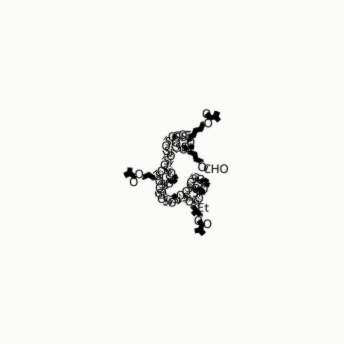 C=C(C)C(=O)OCCCC[Si]1(C)O[Si](C)(CCCCOC=O)O[SiH](C)O[Si](C)(O[Si](C)(C)O[Si](C)(C)O[Si](C)(C)O[Si]2(C)O[Si](C)(C)O[Si](C)(O[Si](C)(C)O[Si](C)(C)O[Si](C)(C)O[Si]3(C)O[Si](C)(CC(C)(CC)COC(=O)C(=C)C)O[Si]4(C)O[Si](C)(C)O[Si](C)(C)O[Si](C)(O3)O4)O[Si](C)(CCCOC(=O)C(=C)C)O2)O1